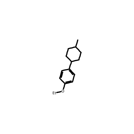 CCOc1ccc(C2CCC(C)CC2)cc1